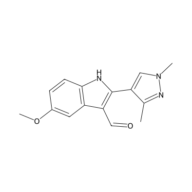 COc1ccc2[nH]c(-c3cn(C)nc3C)c(C=O)c2c1